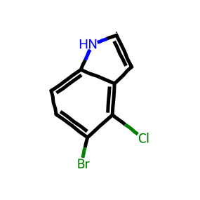 Clc1c(Br)ccc2[nH][c]cc12